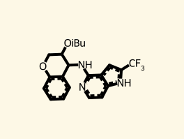 CC(C)COC1COc2ccccc2C1Nc1nccc2[nH]c(C(F)(F)F)cc12